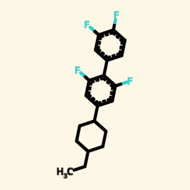 CCC1CCC(c2cc(F)c(-c3ccc(F)c(F)c3)c(F)c2)CC1